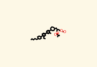 C=C(C)C(=O)OCC(CCOC=O)CC1CCCC(c2ccc(-c3ccc(C4CCC(CCCCC)CC4)c(CC)c3)cc2C)CC1